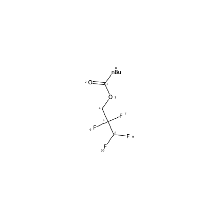 CCCCC(=O)OCC(F)(F)C(F)F